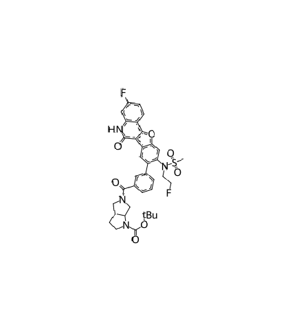 CC(C)(C)OC(=O)N1CCC2CN(C(=O)c3cccc(-c4cc5c(cc4N(CCF)S(C)(=O)=O)oc4c6ccc(F)cc6[nH]c(=O)c54)c3)CC21